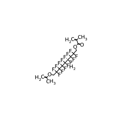 C=C(C)OCC(F)(F)C(F)(F)C(F)(F)C(F)(F)[C@](F)(P)C(F)(F)C(F)(F)COC(=O)C(=C)C